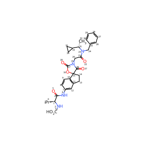 CC(C)[C@H](NC(=O)O)C(=O)Nc1ccc2c(c1)CCC21OC(=O)N(CC(=O)N(Cc2ccccc2)[C@@H](C)C2CC2)C1=O